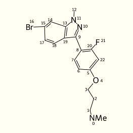 CNCCCOc1ccc(-c2nn(C)c3cc(Br)ccc23)c(F)c1